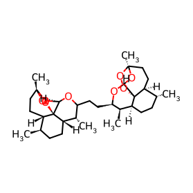 C[C@H]1[C@@H](CCC2O[C@@H]3O[C@]4(C)CC[C@H]5[C@H](C)CC[C@@H]([C@H]2C)[C@@]35OO4)O[C@@H]2O[C@]3(C)CC[C@H]4[C@H](C)CC[C@@H]1[C@@]24OO3